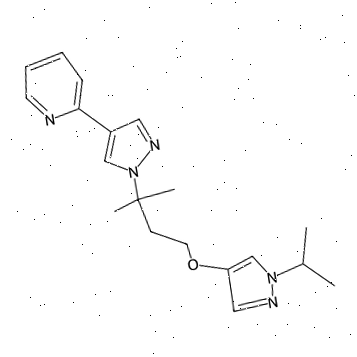 CC(C)n1cc(OCCC(C)(C)n2cc(-c3ccccn3)cn2)cn1